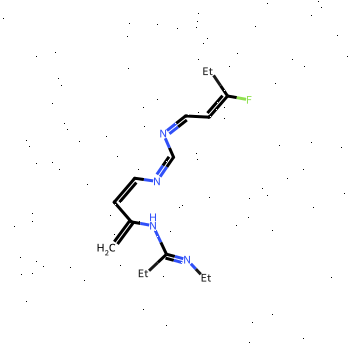 C=C(\C=C/N=C\N=C/C=C(/F)CC)N/C(CC)=N/CC